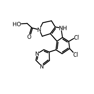 O=C(CO)N1CCc2[nH]c3c(Cl)c(Cl)cc(-c4cncnc4)c3c2C1